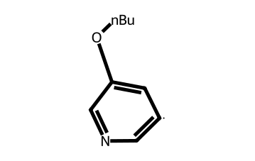 CCCCOc1c[c]cnc1